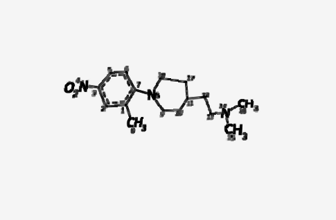 Cc1cc([N+](=O)[O-])ccc1N1CCC(CCN(C)C)CC1